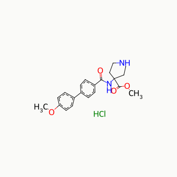 COC(=O)C1(NC(=O)c2ccc(-c3ccc(OC)cc3)cc2)CCNCC1.Cl